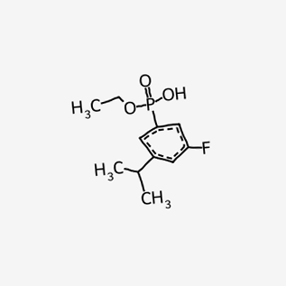 CCOP(=O)(O)c1cc(F)cc(C(C)C)c1